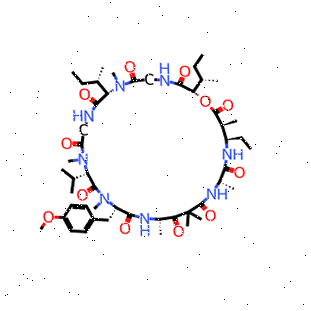 CC[C@H](C)[C@@H]1OC(=O)[C@@H](C)[C@@H](CC)NC(=O)[C@H](C)NC(=O)C(C)(C)C(=O)[C@H](C)NC(=O)[C@H](Cc2ccc(OC)cc2)N(C)C(=O)[C@H](C(C)C)N(C)C(=O)CNC(=O)[C@H]([C@@H](C)CC)N(C)C(=O)CNC1=O